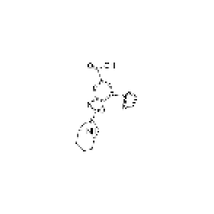 O=C(O)c1cc(-n2cccn2)c2oc(N3CC4CCCC(C3)N4)nc2c1